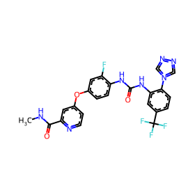 CNC(=O)c1cc(Oc2ccc(NC(=O)Nc3cc(C(F)(F)F)ccc3-n3cnnc3)c(F)c2)ccn1